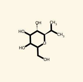 CC(C)[C@H]1OC(CO)C(O)C(O)[C@@H]1O